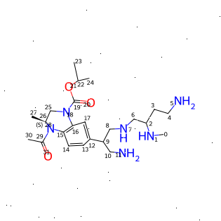 CNC(CCN)CNCC(CN)c1ccc2c(c1)N(C(=O)OC(C)C)C[C@H](C)N2C(C)=O